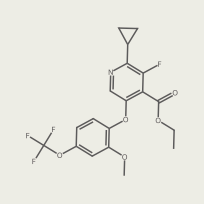 CCOC(=O)c1c(Oc2ccc(OC(F)(F)F)cc2OC)cnc(C2CC2)c1F